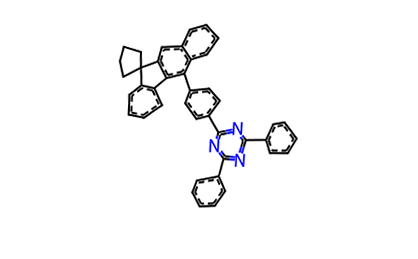 c1ccc(-c2nc(-c3ccccc3)nc(-c3ccc(-c4c5c(cc6ccccc46)C4(CCCC4)c4ccccc4-5)cc3)n2)cc1